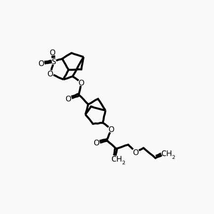 C=CCOCC(=C)C(=O)OC1CC2CC1CC2C(=O)OC1C2CC3C1OS(=O)(=O)C3C2